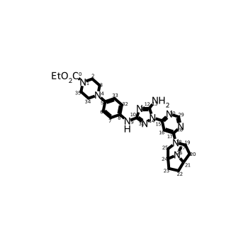 CCOC(=O)N1CCN(c2ccc(Nc3nc(N)n(-c4cc(N5CCC6CCC(C5)N6C)ncn4)n3)cc2)CC1